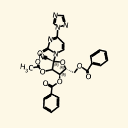 CC(=O)OC1[C@H](OC(=O)c2ccccc2)[C@@H](COC(=O)c2ccccc2)O[C@@]1(C#N)n1ccc(-n2cncn2)nc1=O